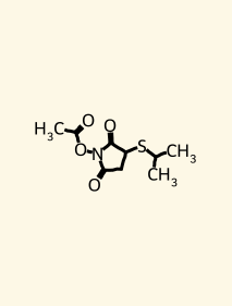 CC(=O)ON1C(=O)CC(SC(C)C)C1=O